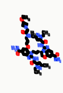 CCn1nc(C)cc1C(=O)Nc1nc2cc(C(N)=O)cc(OCCCNC(=O)CN3CC(OC)C3)c2n1CCC[C@H]1COc2cc(C(N)=O)cc3nc(NC(=O)c4cc(C)nn4CC)n1c23